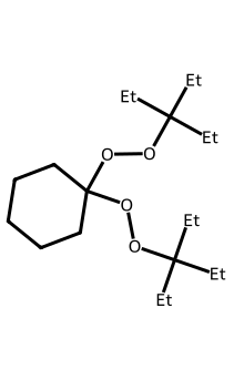 CCC(CC)(CC)OOC1(OOC(CC)(CC)CC)CCCCC1